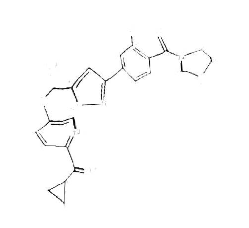 C[C@@H](Oc1ccc(C(=O)C2CC2)nc1)c1cc(-c2ccc(C(=O)N3CCSC3)c(F)c2)ns1